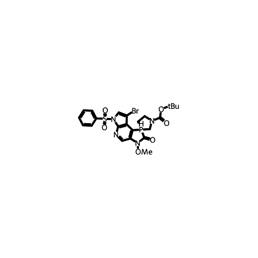 CON1C(=O)[PH]2(CCN(C(=O)OC(C)(C)C)C2)c2c1cnc1c2c(Br)cn1S(=O)(=O)c1ccccc1